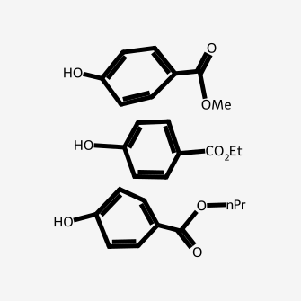 CCCOC(=O)c1ccc(O)cc1.CCOC(=O)c1ccc(O)cc1.COC(=O)c1ccc(O)cc1